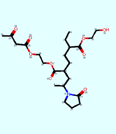 CCC(CCC(CC(C)N1CCCC1=O)C(=O)OCCOC(=O)CC(C)=O)C(=O)OCCO